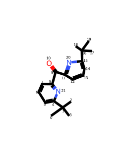 CC(C)(C)c1cccc(C(=O)c2cccc(C(C)(C)C)n2)n1